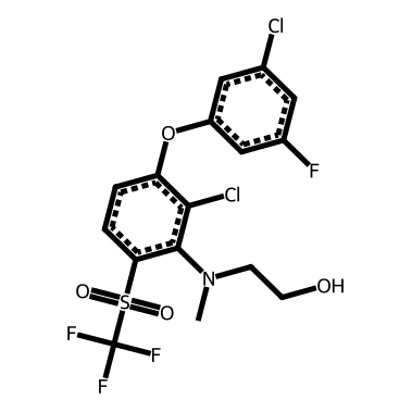 CN(CCO)c1c(S(=O)(=O)C(F)(F)F)ccc(Oc2cc(F)cc(Cl)c2)c1Cl